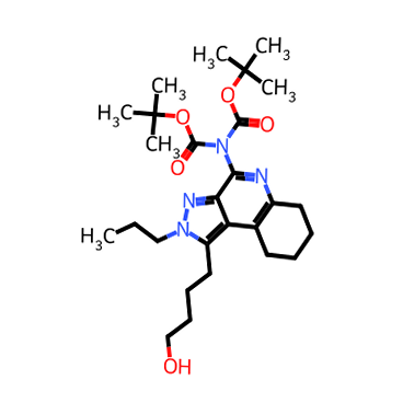 CCCn1nc2c(N(C(=O)OC(C)(C)C)C(=O)OC(C)(C)C)nc3c(c2c1CCCCO)CCCC3